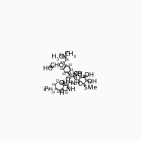 CS[C@H]1O[C@H]([C@H](NC(=O)[C@H]2NC[C@@H]3C[C@H](CC(C)C)CCO[C@H]32)[C@H](C)Sc2ccc(CCN(C)C)cc2)[C@H](O)[C@H](O)[C@H]1O.O=CO